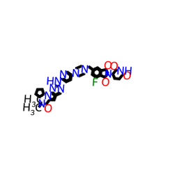 CN(C)C(=O)c1cc2cnc(Nc3ccc(N4CCN(Cc5cc(F)c6c(c5)C(=O)N(C5CCC(=O)NC5=O)C6=O)CC4)cn3)nc2n1C1CCCC1